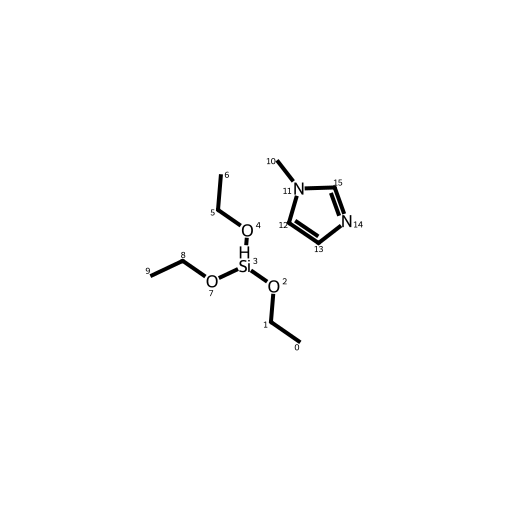 CCO[SiH](OCC)OCC.Cn1ccnc1